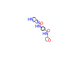 O=C(NCC1CCCOC1)c1ccc(NC(=O)N2C=C3C=CNC=C3C2)cc1